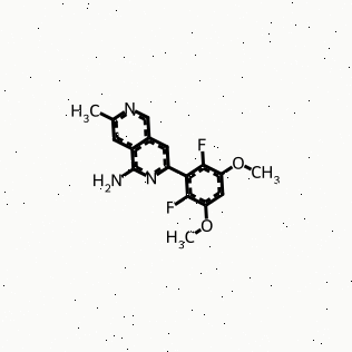 COc1cc(OC)c(F)c(-c2cc3cnc(C)cc3c(N)n2)c1F